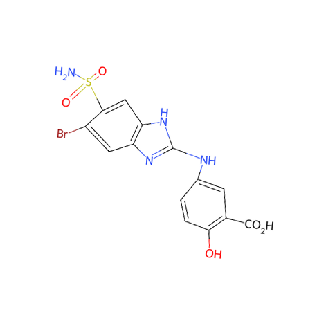 NS(=O)(=O)c1cc2[nH]c(Nc3ccc(O)c(C(=O)O)c3)nc2cc1Br